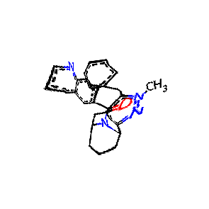 Cn1nc2c(c1-c1ccccc1)CC1CCCC2N1C(=O)c1ccc2ncccc2c1